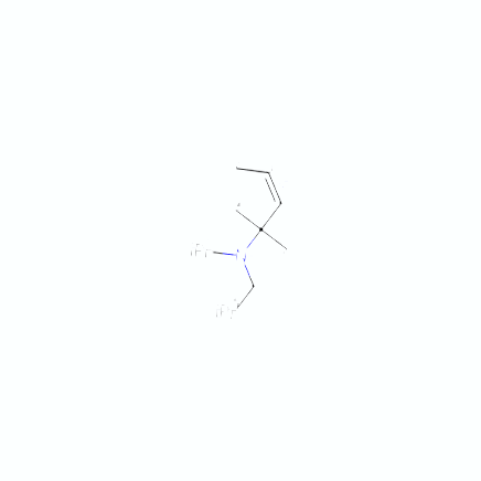 C/C=C\C(C)(C)N(CC(C)C)C(C)C